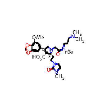 CCCCN(CCCN(C)C)C(=O)CN1C[C@H](c2cc(OC)c3c(c2)OCO3)[C@@H](C(=O)O)[C@@H]1CCN1CCN(C)C1=O